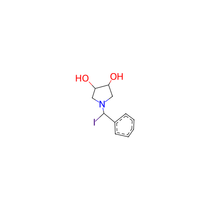 OC1CN(C(I)c2ccccc2)CC1O